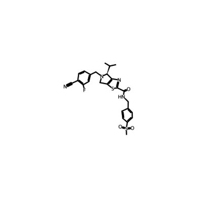 CC(C)[C@H]1c2nc(C(=O)NCc3ccc(S(C)(=O)=O)cc3)sc2CN1Cc1ccc(C#N)c(F)c1